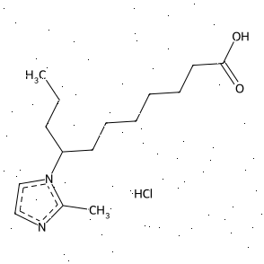 CCCC(CCCCCCC(=O)O)n1ccnc1C.Cl